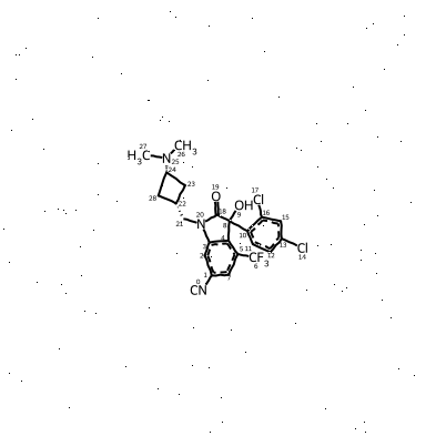 [C-]#[N+]c1cc2c(c(C(F)(F)F)c1)C(O)(c1ccc(Cl)cc1Cl)C(=O)N2C[C@H]1C[C@@H](N(C)C)C1